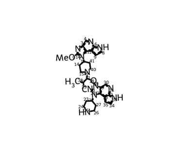 COc1nc2cnc3[nH]ccc3c2n1C1CCN(C(ON2CN(C3CCNCC3)c3c2cnc2[nH]ccc32)C(C)C#N)CC1